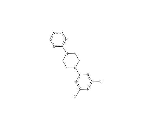 Clc1nc(Cl)nc(N2CCN(c3ncccn3)CC2)n1